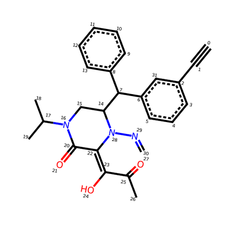 C#Cc1cccc(C(c2ccccc2)C2CN(C(C)C)C(=O)/C(=C(\O)C(C)=O)N2N=C)c1